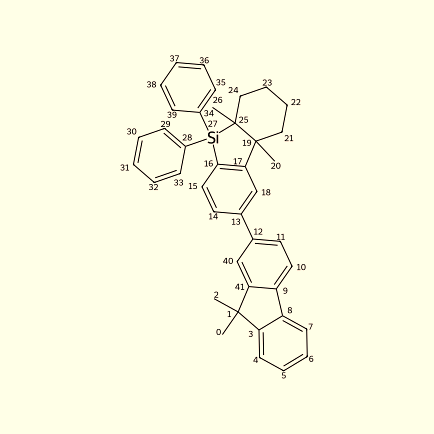 CC1(C)c2ccccc2-c2ccc(-c3ccc4c(c3)C3(C)CCCCC3(C)[Si]4(c3ccccc3)c3ccccc3)cc21